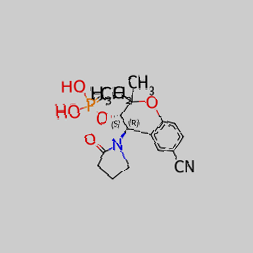 C=P(O)(O)O[C@H]1[C@H](N2CCCC2=O)c2cc(C#N)ccc2OC1(C)C